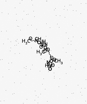 COc1cc2c(cc1OCCCCCOc1cc3c(cc1OC)C(=O)N1c4ccc(N(C)CCCC(C)=O)cc4C[C@H]1C=N3)N=C[C@@H]1Cc3ccccc3N1C2=O